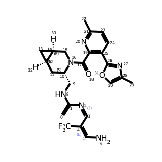 C=C(/N=C\C(=C/N)C(F)(F)F)NC[C@@H]1C[C@H]2C[C@H]2CN1C(=O)c1nc(C)ccc1-c1nc(C)co1